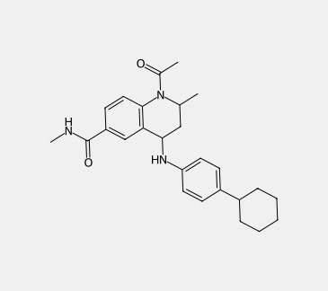 CNC(=O)c1ccc2c(c1)C(Nc1ccc(C3CCCCC3)cc1)CC(C)N2C(C)=O